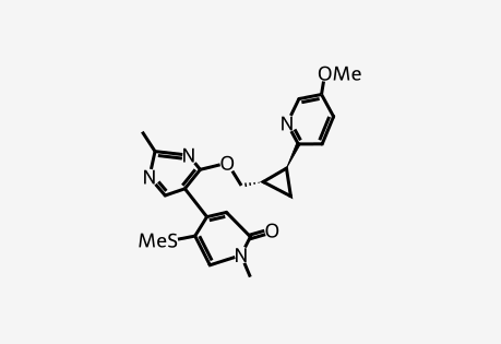 COc1ccc([C@H]2C[C@@H]2COc2nc(C)ncc2-c2cc(=O)n(C)cc2SC)nc1